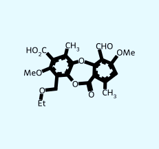 CCOCc1c2c(c(C)c(C(=O)O)c1OC)Oc1c(C=O)c(OC)cc(C)c1C(=O)O2